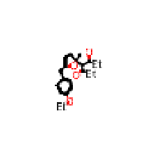 CCOc1ccc(CC2=CCC(C)(C(C(=O)CC)C(=O)CC)O2)cc1